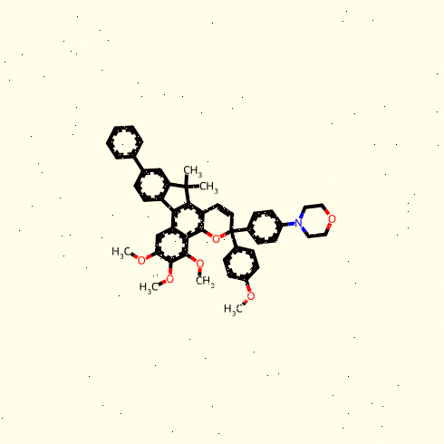 COc1ccc(C2(c3ccc(N4CCOCC4)cc3)C=Cc3c4c(c5cc(OC)c(OC)c(OC)c5c3O2)-c2ccc(-c3ccccc3)cc2C4(C)C)cc1